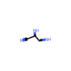 N#CC(=N)C=N